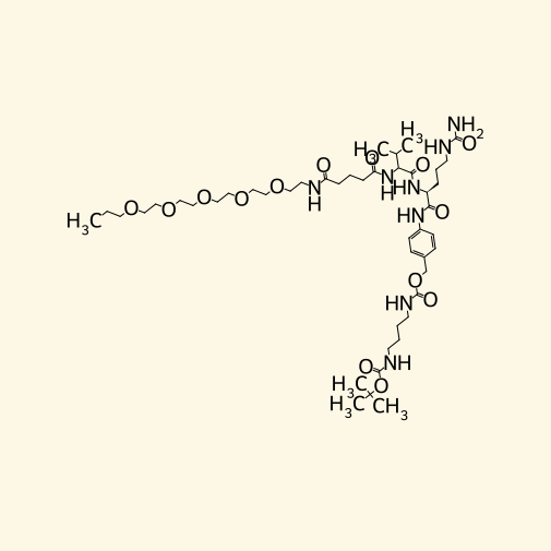 CCCOCCOCCOCCOCCOCCNC(=O)CCCC(=O)NC(C(=O)N[C@@H](CCCNC(N)=O)C(=O)Nc1ccc(COC(=O)NCCCCNC(=O)OC(C)(C)C)cc1)C(C)C